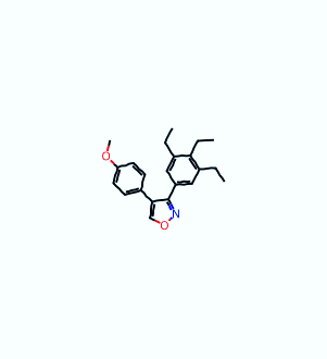 CCc1cc(-c2nocc2-c2ccc(OC)cc2)cc(CC)c1CC